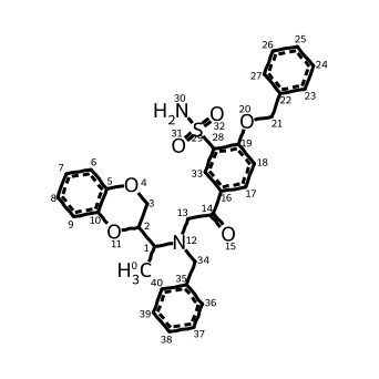 CC(C1COc2ccccc2O1)N(CC(=O)c1ccc(OCc2ccccc2)c(S(N)(=O)=O)c1)Cc1ccccc1